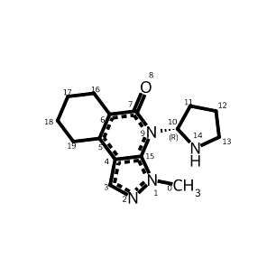 Cn1ncc2c3c(c(=O)n([C@@H]4CCCN4)c21)CCCC3